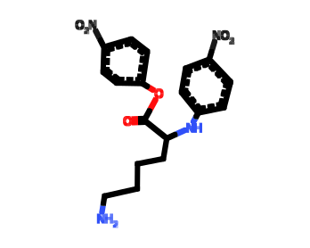 NCCCCC(Nc1ccc([N+](=O)[O-])cc1)C(=O)Oc1ccc([N+](=O)[O-])cc1